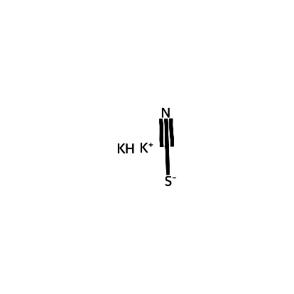 N#C[S-].[K+].[KH]